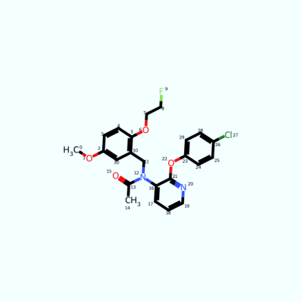 COc1ccc(OCCF)c(CN(C(C)=O)c2cccnc2Oc2ccc(Cl)cc2)c1